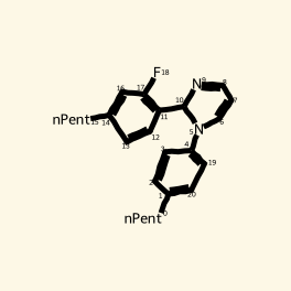 CCCCCc1ccc(N2C=CC=NC2c2ccc(CCCCC)cc2F)cc1